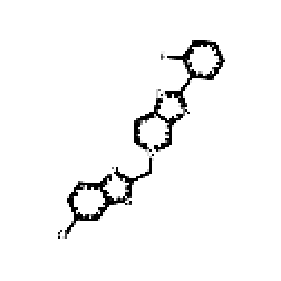 Fc1ccccc1-c1nc2ccn(Cc3nc4ccc(Cl)cc4s3)cc-2n1